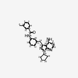 Cc1cccc(C(=O)Nc2cccc(Cc3nn(C4CCCC4)c4ncnc(N)c34)c2)c1